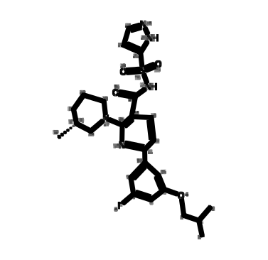 CC(C)COc1cc(F)cc(-c2ccc(C(=O)NS(=O)(=O)c3ccn[nH]3)c(N3CCC[C@@H](C)C3)n2)c1